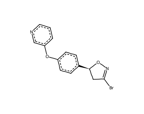 BrC1=NO[C@H](c2ccc(Oc3cccnc3)cc2)C1